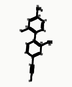 CC#Cc1ccc(-c2nnc(N)cc2C)c(O)c1